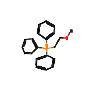 CCOCC[PH](c1ccccc1)(c1ccccc1)c1ccccc1